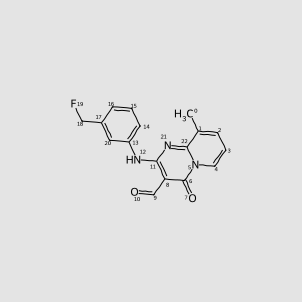 Cc1cccn2c(=O)c(C=O)c(Nc3cccc(CF)c3)nc12